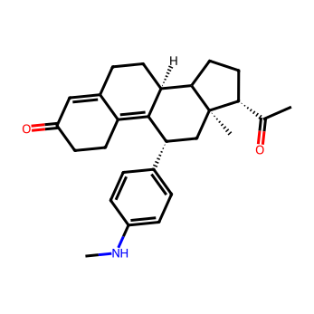 CNc1ccc([C@H]2C[C@@]3(C)C(CC[C@@H]3C(C)=O)[C@@H]3CCC4=CC(=O)CCC4=C32)cc1